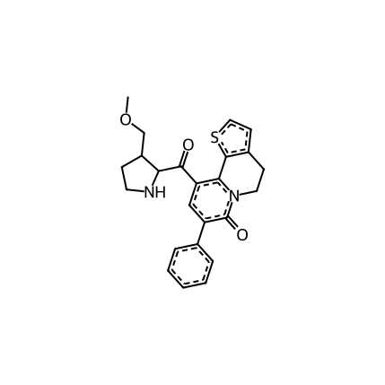 COCC1CCNC1C(=O)c1cc(-c2ccccc2)c(=O)n2c1-c1sccc1CC2